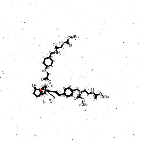 C[C@@H]1CC[C@@]23CCC(=O)C2C1[C@H](OC(=O)CSC1CCC(CNC(=O)CNC(=O)OC(C)(C)C)CC1)C[C@](C)(/C=C/c1ccc(CN(CCNC(=O)OC(C)(C)C)C(=O)OC(C)(C)C)cc1)[C@@H](O)[C@@H]3C